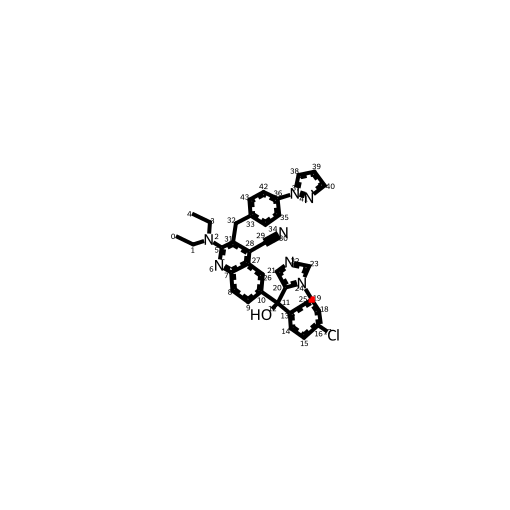 CCN(CC)c1nc2ccc(C(O)(c3ccc(Cl)cc3)c3cncn3C)cc2c(C#N)c1Cc1ccc(-n2cccn2)cc1